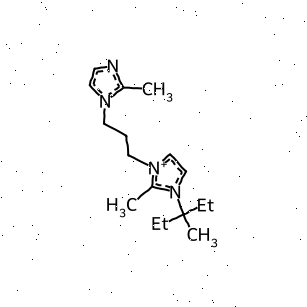 CCC(C)(CC)n1cc[n+](CCCn2ccnc2C)c1C